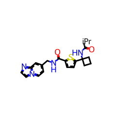 CC(C)C(=O)NC1(c2ccc(C(=O)NCc3ccn4ccnc4c3)s2)CCC1